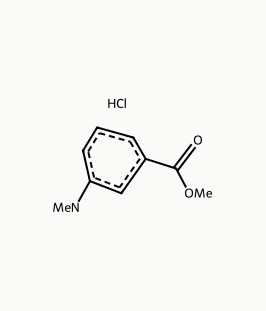 CNc1cccc(C(=O)OC)c1.Cl